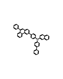 c1ccc(-c2ccc(N(c3ccc(-c4ccc5cc(-c6ccccc6)c6ccccc6c5c4)cc3)c3ccc4ccccc4c3)cc2)cc1